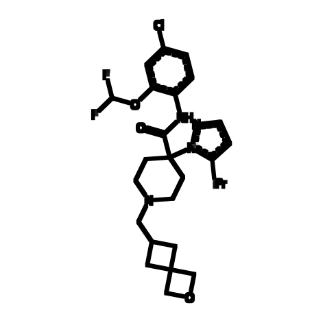 CC(C)c1ccnn1C1(C(=O)Nc2ccc(Cl)cc2OC(F)F)CCN(CC2CC3(COC3)C2)CC1